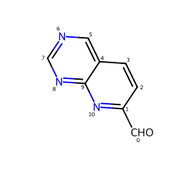 O=Cc1ccc2cncnc2n1